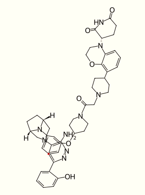 Nc1nnc(-c2ccccc2O)cc1N1C[C@H]2CC[C@@H](C1)N2c1cccc(OC2CCN(C(=O)CN3CCC(c4cccc5c4OCCN5[C@H]4CCC(=O)NC4=O)CC3)CC2)c1